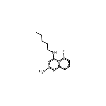 CCCCCNc1nc(N)nc2cccc(F)c12